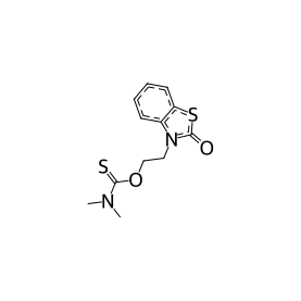 CN(C)C(=S)OCCn1c(=O)sc2ccccc21